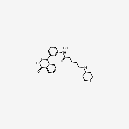 Cl.O=C(CCCCNC1CCOCC1)Nc1cccc(-c2n[nH]c(=O)c3ccccc23)c1